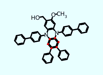 COc1cc(N(c2ccc(-c3ccccc3)cc2)c2ccc(-c3ccccc3)cc2)c(N(c2ccc(-c3ccccc3)cc2)c2ccc(-c3ccccc3)cc2)cc1CO